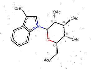 CC(=O)OC[C@H]1OC(n2cc(C=O)c3ccccc32)[C@H](OC(C)=O)[C@@H](OC(C)=O)[C@@H]1OC(C)=O